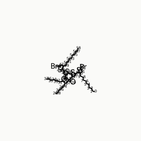 CCCCCCCCCCc1cc(Br)sc1-c1cc2c(=O)n(CC(CCCCCC)CCCCCCCC)c(=O)c3cc(-c4sc(Br)cc4CCCCCCCCCC)sc3c2s1